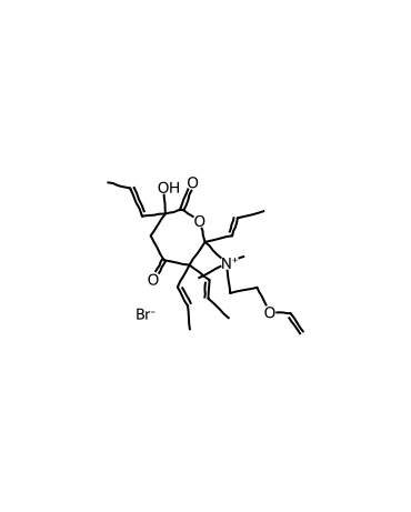 C=COCC[N+](C)(C)C1(C=CC)OC(=O)C(O)(C=CC)CC(=O)C1(C=CC)C=CC.[Br-]